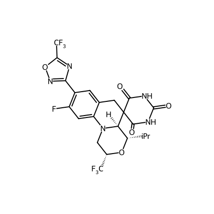 CC(C)[C@@H]1O[C@H](C(F)(F)F)CN2c3cc(F)c(-c4noc(C(F)(F)F)n4)cc3CC3(C(=O)NC(=O)NC3=O)[C@@H]12